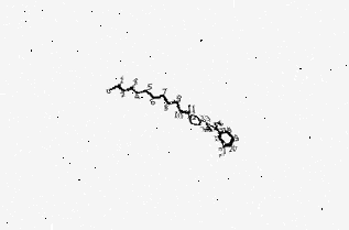 CCCCCCCCCCCCOC[N+](C)(C)c1ccccc1